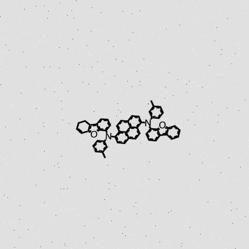 Cc1cccc(N(c2ccc3ccc4c(N(c5cccc(C)c5)c5cccc6c5oc5ccccc56)ccc5ccc2c3c54)c2cccc3c4c(oc23)C=CCC4)c1